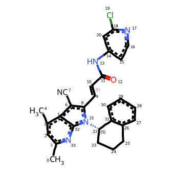 Cc1cc(C)c2c(C#N)c(/C=C/C(=O)Nc3ccnc(Cl)c3)n([C@H]3CCCc4ccccc43)c2n1